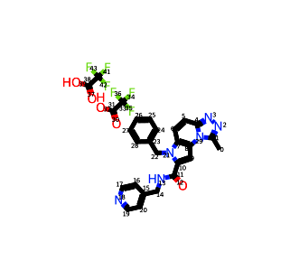 Cc1nnc2ccc3c(cc(C(=O)NCc4ccncc4)n3Cc3ccccc3)n12.O=C(O)C(F)(F)F.O=C(O)C(F)(F)F